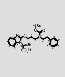 CC(C)(C)OC(=O)N(CCCSc1nc2ccccc2n1C(C(=O)O)C(C)(C)C)CCc1ccccc1